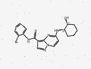 O=C(Nc1ccccc1Br)c1cnn2ccc(N[C@@H]3CCCC[C@@H]3O)nc12